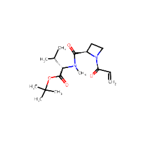 C=CC(=O)N1CC[C@@H]1C(=O)N(C)[C@H](C(=O)OC(C)(C)C)C(C)C